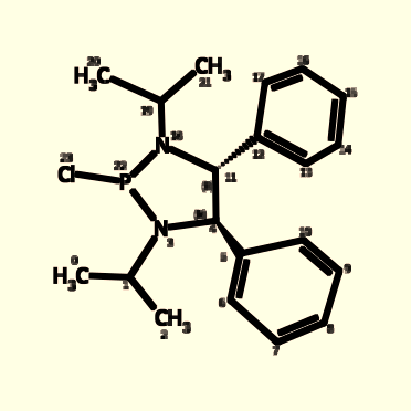 CC(C)N1[C@H](c2ccccc2)[C@@H](c2ccccc2)N(C(C)C)P1Cl